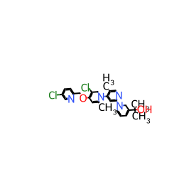 CC1=CC(OCc2ccc(Cl)cn2)=C(Cl)CN1c1cc(N2C=CC=C(C(C)(C)O)C2)ncc1C